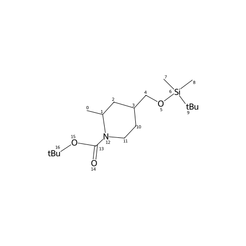 CC1CC(CO[Si](C)(C)C(C)(C)C)CCN1C(=O)OC(C)(C)C